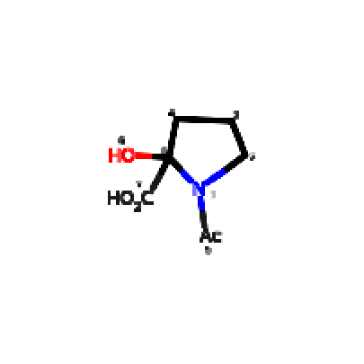 CC(=O)N1CCCC1(O)C(=O)O